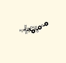 Cc1nc(NC(=N)N)sc1-c1cccc(NC(=O)C2=CC=C(OCc3ccccc3)CC2)c1